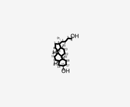 C[C@H](CCCO)C1CC[C@H]2C3CC[C@@H]4C[C@H](O)CC[C@]4(C)C3CC[C@]12C